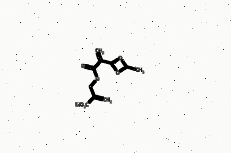 C=C(COC(=O)C(=C)C1OC(C)O1)C(=O)OCC